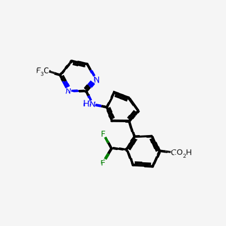 O=C(O)c1ccc(C(F)F)c(-c2cccc(Nc3nccc(C(F)(F)F)n3)c2)c1